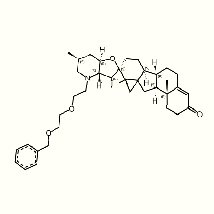 C[C@H]1C[C@H]2O[C@]3(CC[C@H]4[C@@H]5CCC6=CC(=O)CC[C@]6(C)[C@H]5CC45CC53C)[C@H](I)[C@@H]2N(CCOCCOCc2ccccc2)C1